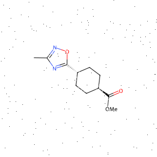 COC(=O)[C@H]1CC[C@H](c2nc(C)no2)CC1